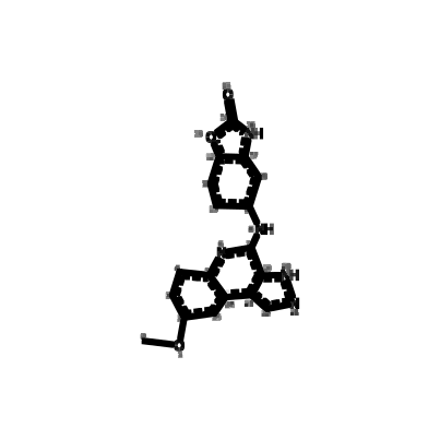 COc1ccc2nc(Nc3ccc4oc(=O)[nH]c4c3)c3[nH]ncc3c2c1